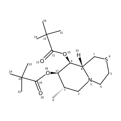 C[C@H]1CN2CCSC[C@H]2[C@H](OC(=O)C(C)(C)C)[C@@H]1OC(=O)C(C)(C)C